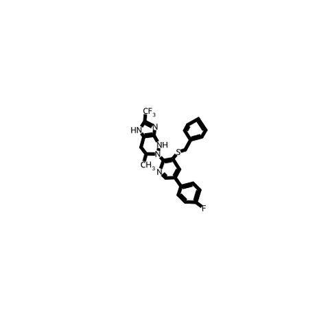 CC1Cc2[nH]c(C(F)(F)F)nc2NN1c1ncc(-c2ccc(F)cc2)cc1SCc1ccccc1